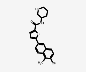 Cc1c(O)ccc2cc(-c3ccc(C(=O)NC4CCCNC4)o3)ccc12